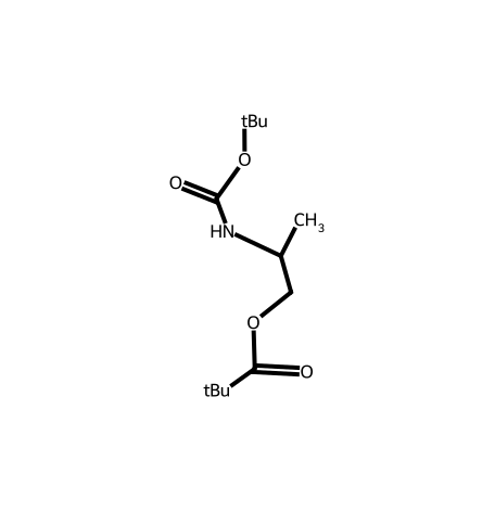 CC(COC(=O)C(C)(C)C)NC(=O)OC(C)(C)C